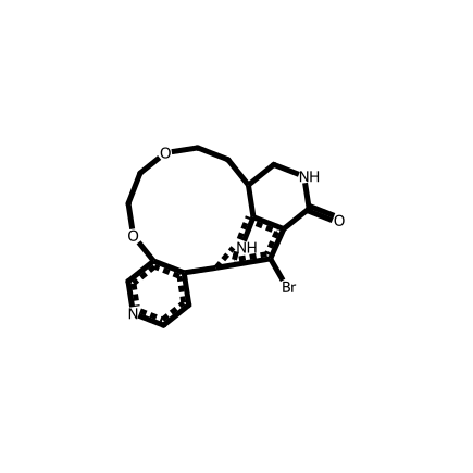 O=C1NCC2CCOCCOc3cnccc3-c3[nH]c2c1c3Br